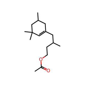 CC(=O)OCCC(C)CC1=CC(C)(C)CC(C)C1